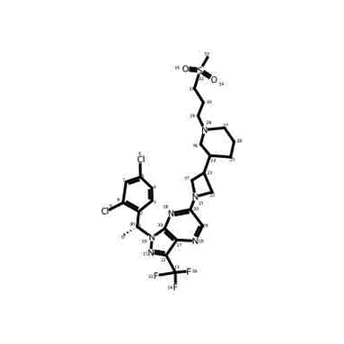 C[C@H](c1ccc(Cl)cc1Cl)n1nc(C(F)(F)F)c2ncc(N3CC(C4CCCN(CCCS(C)(=O)=O)C4)C3)nc21